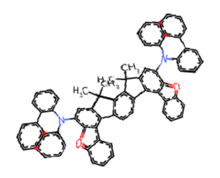 CC1(C)c2cc(N(c3ccccc3)c3ccccc3-c3ccccc3)c3oc4ccccc4c3c2-c2ccc3c(c21)C(C)(C)c1cc(N(c2ccccc2)c2ccccc2-c2ccccc2)c2oc4ccccc4c2c1-3